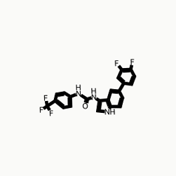 O=C(Nc1ccc(C(F)(F)F)cc1)Nc1c[nH]c2ccc(-c3ccc(F)c(F)c3)cc12